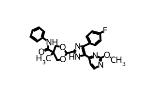 COc1nccc(-c2[nH]c(C3OCC(C)(C(=O)Nc4ccccc4)CO3)nc2-c2ccc(F)cc2)n1